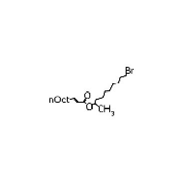 CCCCCCCC/C=C/C(=O)OC(C)CCCCCCCCBr